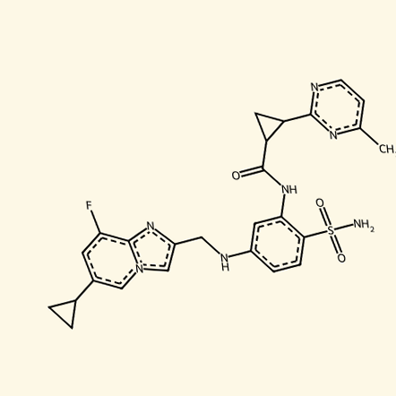 Cc1ccnc(C2CC2C(=O)Nc2cc(NCc3cn4cc(C5CC5)cc(F)c4n3)ccc2S(N)(=O)=O)n1